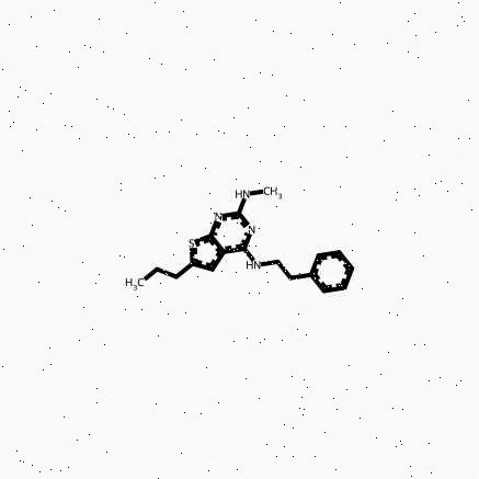 CCCc1cc2c(NCCc3ccccc3)nc(NC)nc2s1